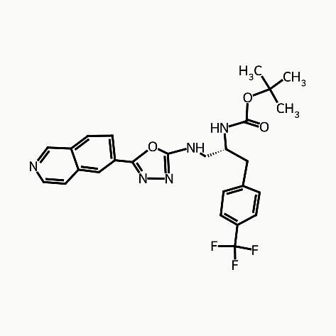 CC(C)(C)OC(=O)N[C@@H](CNc1nnc(-c2ccc3cnccc3c2)o1)Cc1ccc(C(F)(F)F)cc1